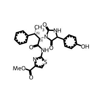 COC(=O)c1csc(NC(=O)[C@H]([C@@H](C)c2ccccc2)N2C(=O)NC(c3ccc(O)cc3)C2=O)n1